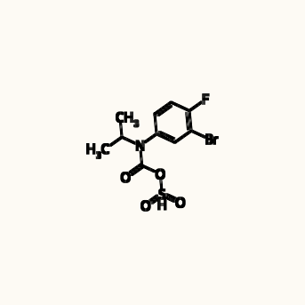 CC(C)N(C(=O)O[SH](=O)=O)c1ccc(F)c(Br)c1